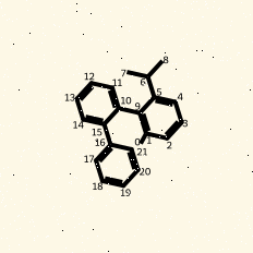 Cc1cccc(C(C)C)c1-c1ccccc1-c1ccccc1